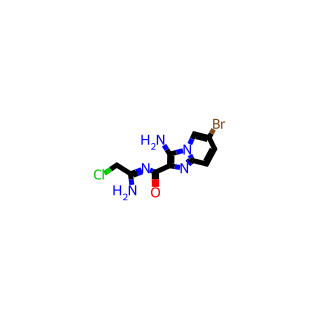 N/C(CCl)=N\C(=O)c1nc2ccc(Br)cn2c1N